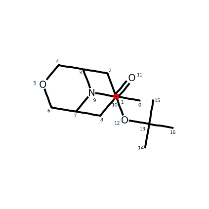 CC1CC2COCC(C1)N2C(=O)OC(C)(C)C